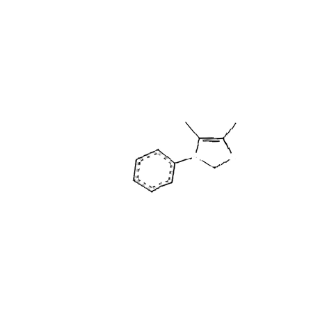 CC1=C(C)N(c2ccccc2)CS1